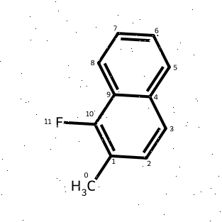 Cc1ccc2c[c]ccc2c1F